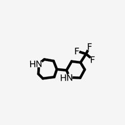 FC(F)(F)C1CCNC(C2CCCNCC2)C1